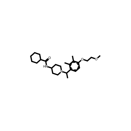 COCCOc1ccc(C(C)N2CCC(NC(=O)C3CCCCC3)CC2)c(C)c1C